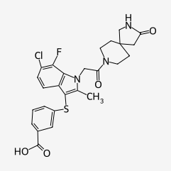 Cc1c(Sc2cccc(C(=O)O)c2)c2ccc(Cl)c(F)c2n1CC(=O)N1CCC2(CC1)CNC(=O)C2